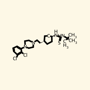 CC(C)(C)NC(=S)N[C@H]1CC[C@H](CCN2CCN(c3cccc(Cl)c3Cl)CC2)CC1